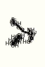 Nc1nc(=O)n([C@H]2CC[C@@H](CO)O2)cc1C#CCOCCOCCNC(=O)C(F)(F)F.O=P(O)(O)O.O=P(O)(O)O.O=P(O)(O)O